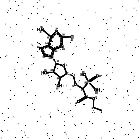 CCOC(=O)C(OC[C@H]1O[C@@H](n2cnc3c(N)nc(Cl)nc32)[C@H](O)[C@@H]1O)P(=O)(O)O